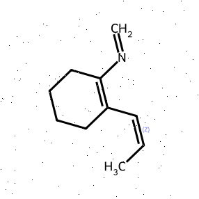 C=NC1=C(/C=C\C)CCCC1